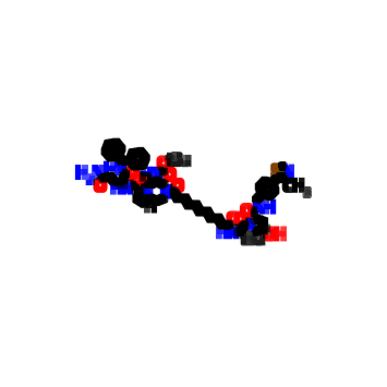 Cc1ncsc1-c1ccc(CNC(=O)[C@@H]2C[C@@H](O)CN2C(=O)[C@@H](NC(=O)CCCCCCCCCC(=O)N2CC[C@H]3CC[C@@H](C(=O)N[C@@H](CCC(N)=O)C(=O)NC(c4ccccc4)c4ccccc4)N3C(=O)[C@@H](NC(=O)OC(C)(C)C)C2)C(C)(C)C)cc1